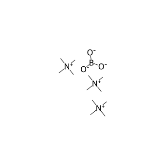 C[N+](C)(C)C.C[N+](C)(C)C.C[N+](C)(C)C.[O-]B([O-])[O-]